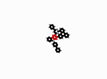 c1ccc(-c2ccc(-n3c4ccccc4c4ccc(-c5ccc6c7ccccc7c7cccc(-c8nc(-c9ccccc9)cc(-c9ccccc9)n8)c7c6c5)cc43)cc2)cc1